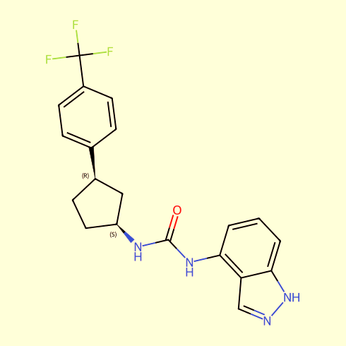 O=C(Nc1cccc2[nH]ncc12)N[C@H]1CC[C@@H](c2ccc(C(F)(F)F)cc2)C1